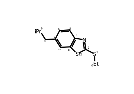 CCSc1nc2ccc(CC(C)C)cc2s1